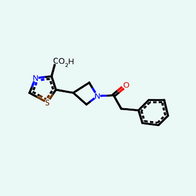 O=C(O)c1ncsc1C1CN(C(=O)Cc2ccccc2)C1